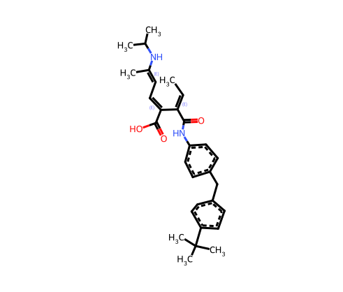 C\C=C(C(=O)Nc1ccc(Cc2ccc(C(C)(C)C)cc2)cc1)/C(=C\C=C(/C)NC(C)C)C(=O)O